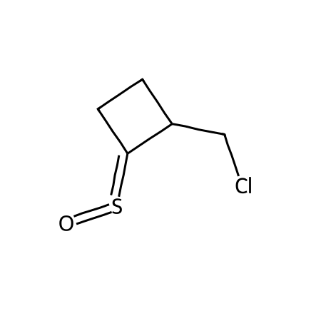 O=S=C1CCC1CCl